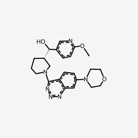 COc1ccc(C(O)[C@H]2CCCN(c3nnnc4cc(N5CCOCC5)ccc34)C2)cn1